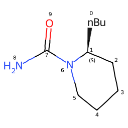 CCCC[C@H]1CCCCN1C(N)=O